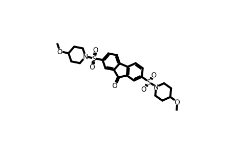 COC1CCN(S(=O)(=O)c2ccc3c(c2)C(=O)c2cc(S(=O)(=O)N4CCC(OC)CC4)ccc2-3)CC1